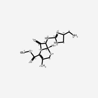 CC1=C(C(=O)OC(C)(C)C)N2C(=O)C(NC3=NC(CN)CN3)[C@@H]2SC1